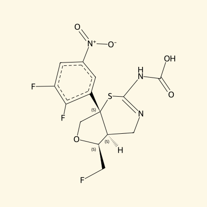 O=C(O)NC1=NC[C@H]2[C@@H](CF)OC[C@]2(c2cc([N+](=O)[O-])cc(F)c2F)S1